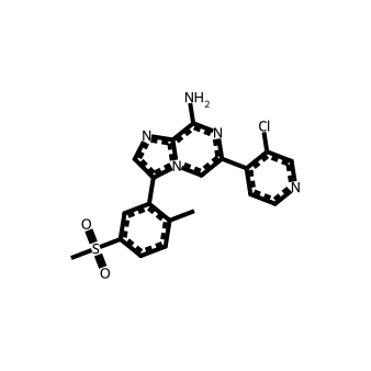 Cc1ccc(S(C)(=O)=O)cc1-c1cnc2c(N)nc(-c3ccncc3Cl)cn12